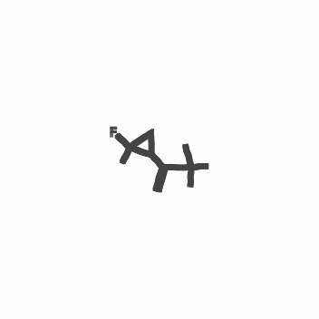 C=C(C1CC1(C)F)C(C)(C)C